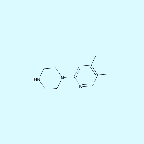 Cc1cnc(N2CCNCC2)cc1C